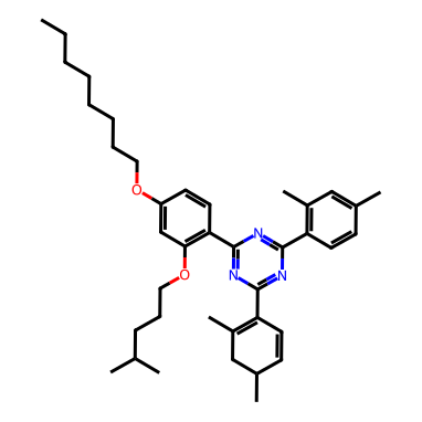 CCCCCCCCOc1ccc(-c2nc(C3=C(C)CC(C)C=C3)nc(-c3ccc(C)cc3C)n2)c(OCCCC(C)C)c1